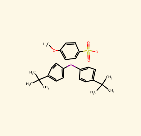 CC(C)(C)c1ccc([I+]c2ccc(C(C)(C)C)cc2)cc1.COc1ccc(S(=O)(=O)[O-])cc1